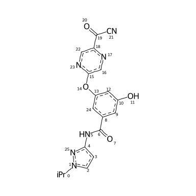 CC(C)n1ccc(NC(=O)c2cc(O)cc(Oc3cnc(C(=O)C#N)cn3)c2)n1